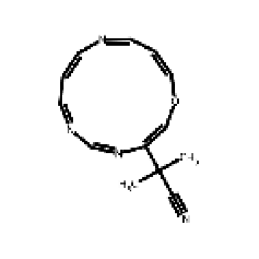 CC(C)(C#N)c1cocccncccncn1